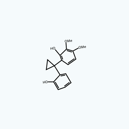 COc1ccc(C2(c3ccccc3O)CC2)c(O)c1OC